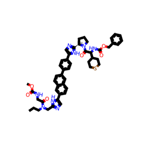 CCCN(Cc1ncc(-c2ccc3cc(-c4ccc(-c5cnc([C@@H]6CCCN6C(=O)C(NC(=O)OCc6ccccc6)C6CCSCC6)[nH]5)cc4)ccc3c2)[nH]1)C(=O)CNC(=O)OC